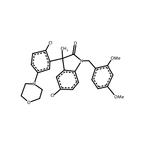 COc1ccc(CN2C(=O)C(C)(c3cc(N4CCOCC4)ccc3Cl)c3cc(Cl)ccc32)c(OC)c1